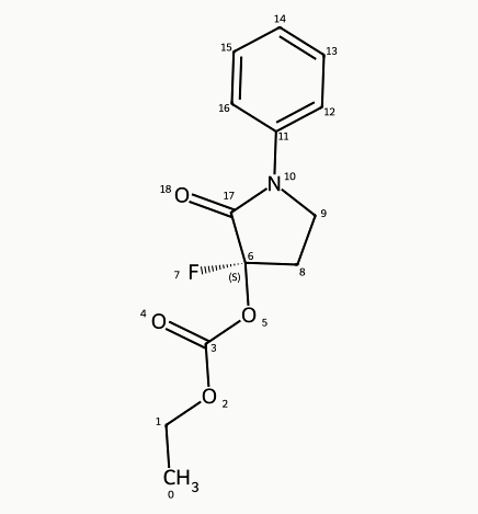 CCOC(=O)O[C@]1(F)CCN(c2ccccc2)C1=O